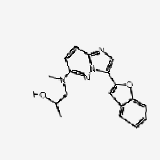 CC(O)CN(C)c1ccc2ncc(-c3cc4ccccc4o3)n2n1